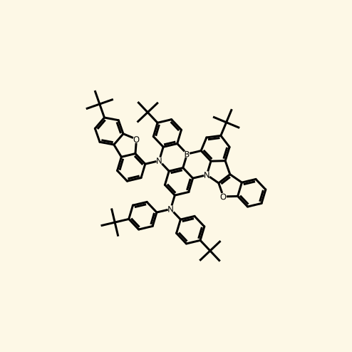 CC(C)(C)c1ccc(N(c2ccc(C(C)(C)C)cc2)c2cc3c4c(c2)-n2c5oc6ccccc6c5c5cc(C(C)(C)C)cc(c52)B4c2ccc(C(C)(C)C)cc2N3c2cccc3c2oc2cc(C(C)(C)C)ccc23)cc1